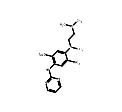 COc1cc(N(C)CCN(C)C)c([N+](=O)[O-])cc1Nc1ncccn1